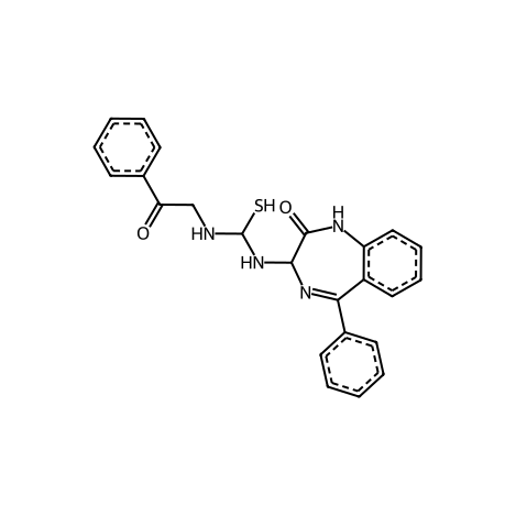 O=C(CNC(S)NC1N=C(c2ccccc2)c2ccccc2NC1=O)c1ccccc1